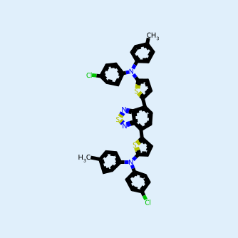 Cc1ccc(N(c2ccc(Cl)cc2)c2ccc(-c3ccc(-c4ccc(N(c5ccc(C)cc5)c5ccc(Cl)cc5)s4)c4nsnc34)s2)cc1